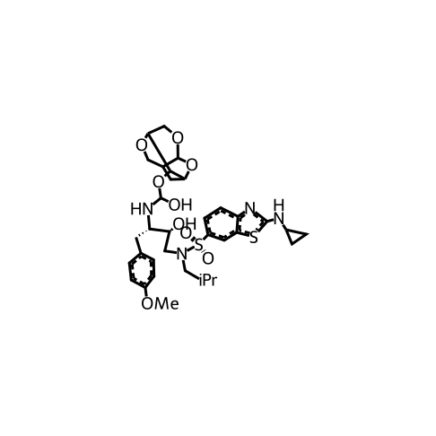 COc1ccc(C[C@H](NC(O)OC2C3COC4OC2CC4CO3)[C@H](O)CN(CC(C)C)S(=O)(=O)c2ccc3nc(NC4CC4)sc3c2)cc1